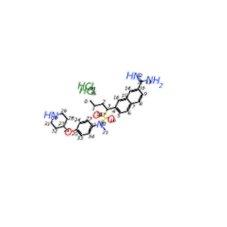 CCCC(c1ccc2ccc(C(=N)N)cc2c1)S(=O)(=O)N(C)c1ccc(OC2CCNCC2)cc1.Cl.Cl